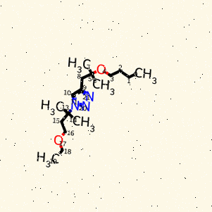 CCCCOC(C)(C)Cc1cn(C(C)(C)CCOCC)nn1